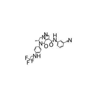 C[C@H]1Cn2ncc(C(=O)Nc3cccc(C#N)c3)c2C(=O)N1c1ccc(NCC(F)(F)F)cc1